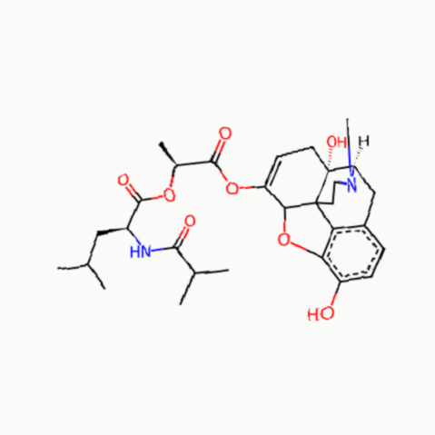 CC(C)C[C@H](NC(=O)C(C)C)C(=O)O[C@@H](C)C(=O)OC1=CC[C@@]2(O)[C@H]3Cc4ccc(O)c5c4C2(CCN3C)C1O5